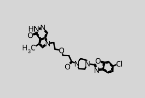 Cc1cn(CCOCCC(=O)N2CCN(c3nc4ccc(Cl)cc4o3)CC2)c2cn[nH]c(=O)c12